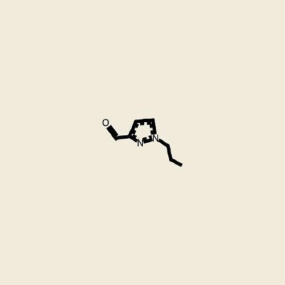 CCCn1ccc([C]=O)n1